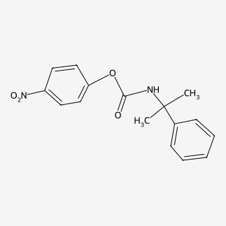 CC(C)(NC(=O)Oc1ccc([N+](=O)[O-])cc1)c1ccccc1